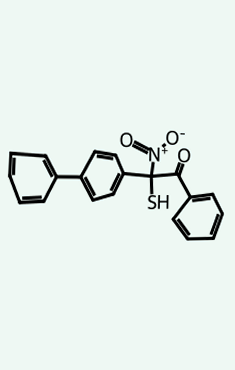 O=C(c1ccccc1)C(S)(c1ccc(-c2ccccc2)cc1)[N+](=O)[O-]